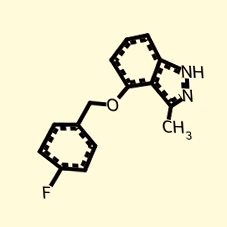 Cc1n[nH]c2cccc(OCc3ccc(F)cc3)c12